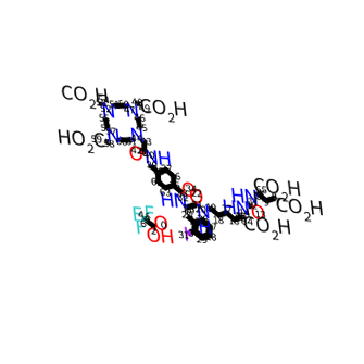 O=C(O)C(F)(F)F.O=C(O)CC[C@H](NC(=O)N[C@@H](CCCCNC(=O)[C@H](Cc1ccccc1I)NC(=O)C1CCC(CNC(=O)CN2CCN(CC(=O)O)CCN(CC(=O)O)CCN(CC(=O)O)CC2)CC1)C(=O)O)C(=O)O